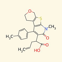 C=CCC(C(=O)O)c1c(-c2ccc(C)cc2)c2c3c(sc2n(C)c1=O)COCC3